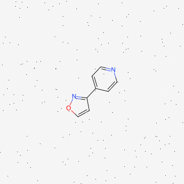 c1cc(-c2ccon2)ccn1